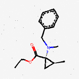 CCOC(=O)[C@]1(N(C)Cc2ccccc2)C[C@@H]1C